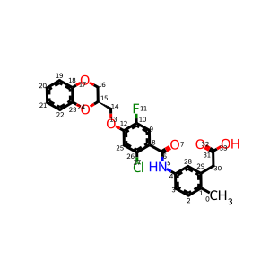 Cc1ccc(NC(=O)c2cc(F)c(OC[C@@H]3COc4ccccc4O3)cc2Cl)cc1CC(=O)O